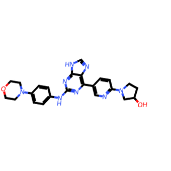 OC1CCN(c2ccc(-c3nc(Nc4ccc(N5CCOCC5)cc4)nc4[nH]cnc34)cn2)C1